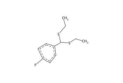 CCSC(SCC)c1ccc(F)cc1